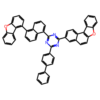 c1ccc(-c2ccc(-c3nc(-c4ccc5c(ccc6oc7ccccc7c65)c4)nc(-c4cccc5c(-c6cccc7oc8ccccc8c67)cccc45)n3)cc2)cc1